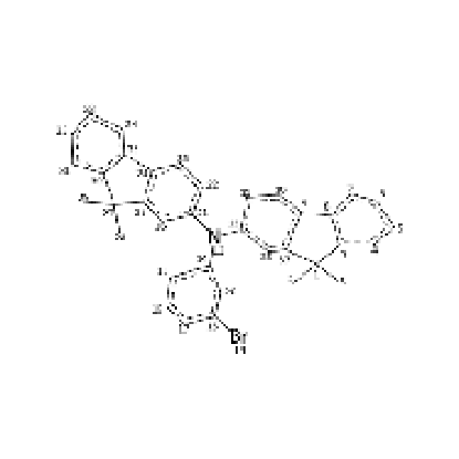 CC1(C)c2ccccc2-c2ccc(N(c3cccc(Br)c3)c3ccc4c(c3)C(C)(C)c3ccccc3-4)cc21